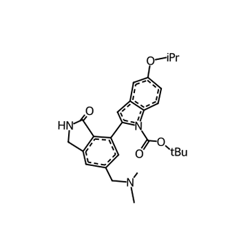 CC(C)Oc1ccc2c(c1)cc(-c1cc(CN(C)C)cc3c1C(=O)NC3)n2C(=O)OC(C)(C)C